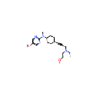 CCN(CC#CC1CCC(N(C)c2ncc(Br)cn2)CC1)CCOC